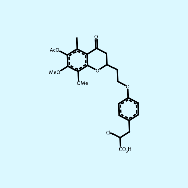 COc1c(OC(C)=O)c(C)c2c(c1OC)OC(CCOc1ccc(CC(Cl)C(=O)O)cc1)CC2=O